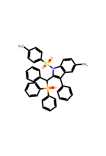 Cc1ccc(S(=O)(=O)n2c(C(c3ccccc3)P(=O)(c3ccccc3)c3ccccc3)c(-c3ccccc3)c3cc(C)ccc32)cc1